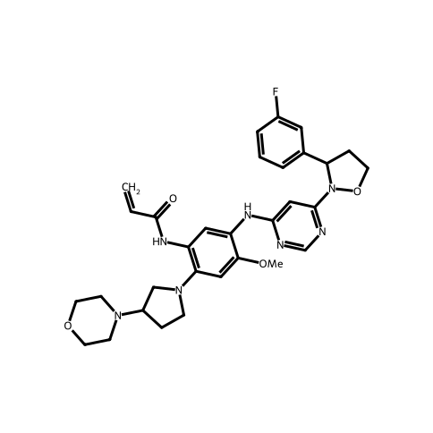 C=CC(=O)Nc1cc(Nc2cc(N3OCCC3c3cccc(F)c3)ncn2)c(OC)cc1N1CCC(N2CCOCC2)C1